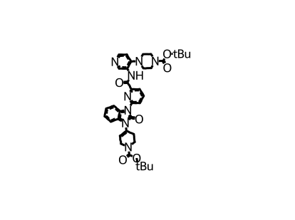 CC(C)(C)OC(=O)N1CC=C(n2c(=O)n(-c3cccc(C(=O)Nc4cnccc4N4CCN(C(=O)OC(C)(C)C)CC4)n3)c3ccccc32)CC1